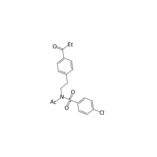 CCC(=O)c1ccc(CCN(C(C)=O)S(=O)(=O)c2ccc(Cl)cc2)cc1